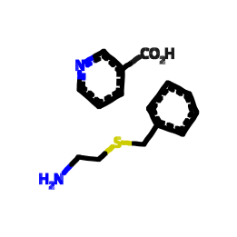 NCCSCc1ccccc1.O=C(O)c1cccnc1